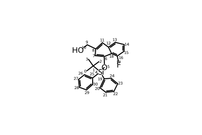 CC(C)(C)[Si](Oc1cc(CO)cc2cccc(F)c12)(c1ccccc1)c1ccccc1